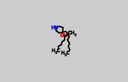 CCCCCCC(C)(CCCCCC)CC1(O)CCNCC1